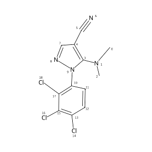 CN(C)c1c(C#N)cnn1-c1ccc(Cl)c(Cl)c1Cl